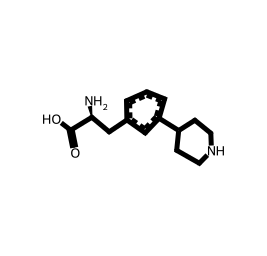 N[C@@H](Cc1cccc(C2CCNCC2)c1)C(=O)O